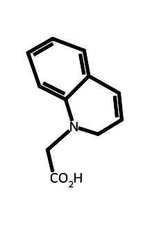 O=C(O)CN1CC=Cc2ccccc21